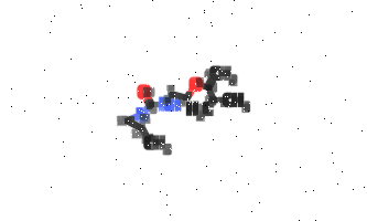 C=C(C)C(=C)OCCNC(=O)N1CC1C